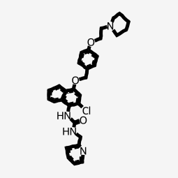 O=C(NCc1ccccn1)Nc1c(Cl)cc(OCc2ccc(OCCN3CCCCC3)cc2)c2ccccc12